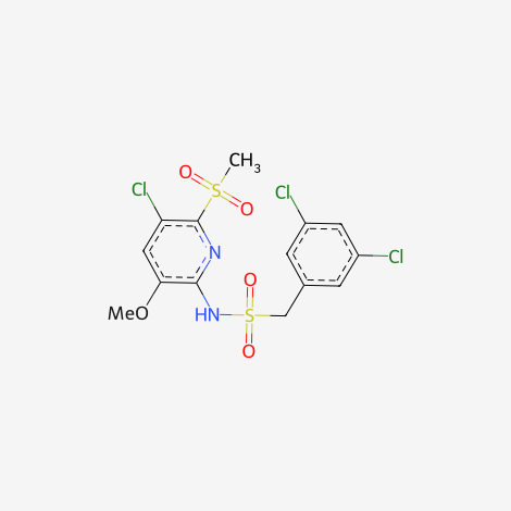 COc1cc(Cl)c(S(C)(=O)=O)nc1NS(=O)(=O)Cc1cc(Cl)cc(Cl)c1